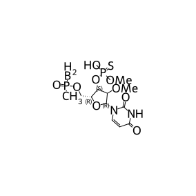 BP(C)(=O)OC[C@H]1O[C@@H](n2ccc(=O)[nH]c2=O)C(OC)[C@H]1OP(O)(=S)OC